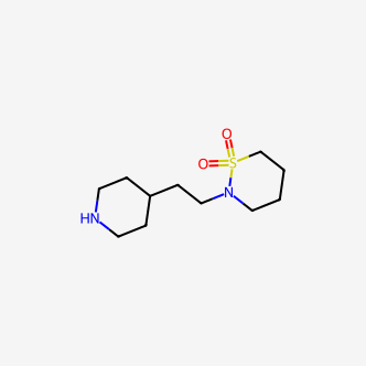 O=S1(=O)CCCCN1CCC1CCNCC1